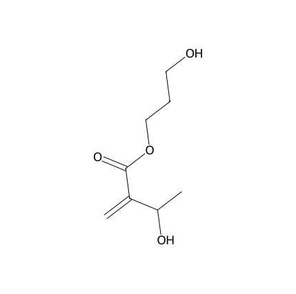 C=C(C(=O)OCCCO)C(C)O